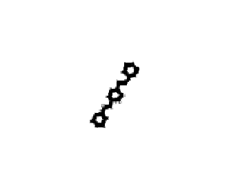 [c]1cc(C=Cc2ccccc2)ccc1C=Cc1ccccc1